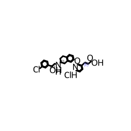 Cl.O=C(O)/C=C/c1cccnc1Oc1ccc2c(c1)C[C@@H](NC[C@H](O)c1cccc(Cl)c1)CC2